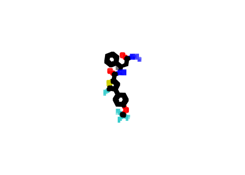 NC(=O)C[C@@H](NC(=O)c1cc(-c2ccc(OC(F)(F)F)cc2)c(F)s1)c1ccccc1